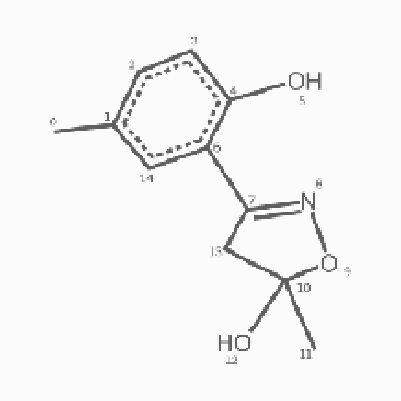 Cc1ccc(O)c(C2=NOC(C)(O)C2)c1